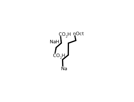 CCCCCCCCCCC[CH2][Na].O=C(O)CCC(=O)O.[NaH]